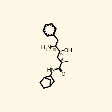 C[C@H](C[C@H](O)[C@@H](N)Cc1ccccc1)C(=O)NC1CC2CCC1C2